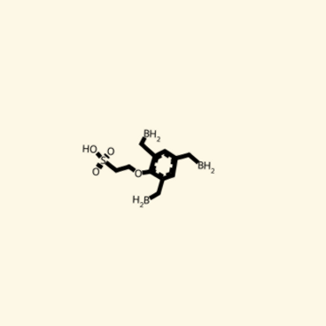 BCc1cc(CB)c(OCCS(=O)(=O)O)c(CB)c1